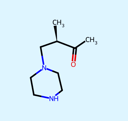 CC(=O)[C@H](C)CN1CCNCC1